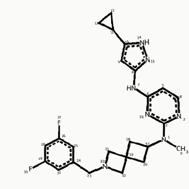 CN(c1nccc(Nc2cc(C3CC3)[nH]n2)n1)C1CC2(C1)CN(Cc1cc(F)cc(F)c1)C2